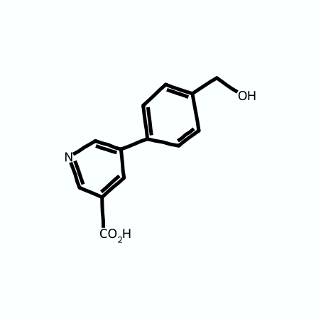 O=C(O)c1cncc(-c2ccc(CO)cc2)c1